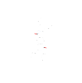 CCCCN(CCCC)C(=O)[C@H]1CC[C@H](C(=O)N(CCCC)CCCC)CC1